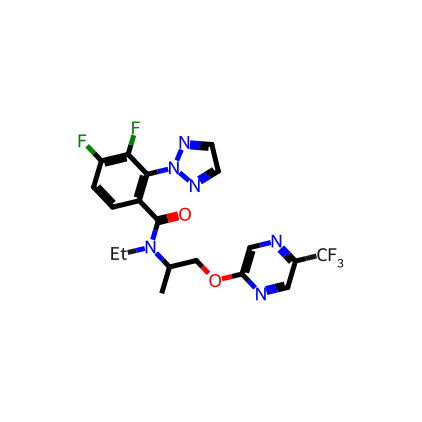 CCN(C(=O)c1ccc(F)c(F)c1-n1nccn1)C(C)COc1cnc(C(F)(F)F)cn1